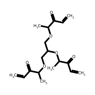 C=CC(=O)C(C)OCC(COC(C)C(=O)C=C)OC(C)C(=O)C=C